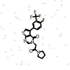 O=C(Cn1cnc2scc(-c3ccc(F)c(C(F)(F)F)c3)c2c1=O)N1CCCC1